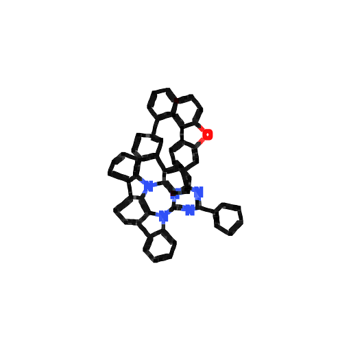 c1ccc(-c2cccc(-c3ccccc3-n3c4ccccc4c4ccc5c6ccccc6n(-c6nc(-c7ccccc7)nc(-c7ccc8c(c7)oc7ccccc78)n6)c5c43)c2)cc1